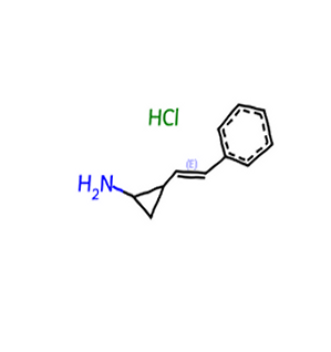 Cl.NC1CC1/C=C/c1ccccc1